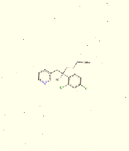 COCCCC(C#N)(Cc1cccnc1)c1ccc(Cl)cc1Cl